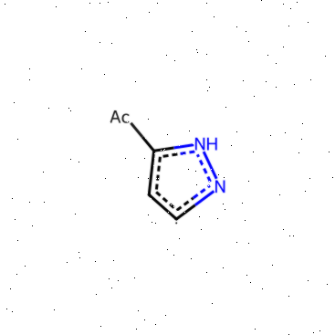 CC(=O)c1c[c]n[nH]1